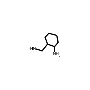 [NH]CC1CCCCC1N